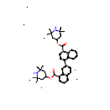 CC1(C)CC(OC(=O)c2cccc3ccc(-c4ccc(C(=O)OC5CC(C)(C)NC(C)(C)C5)c5ccccc45)cc23)CC(C)(C)N1